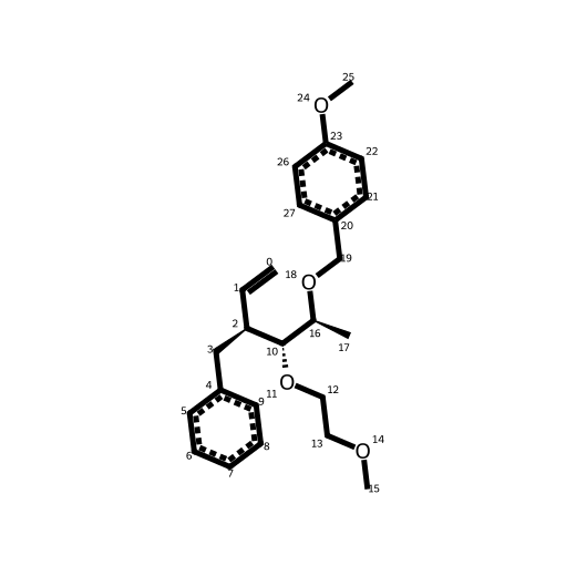 C=C[C@H](Cc1ccccc1)[C@@H](OCCOC)[C@H](C)OCc1ccc(OC)cc1